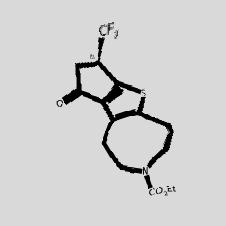 CCOC(=O)N1CCc2sc3c(c2CC1)C(=O)C[C@H]3C(F)(F)F